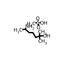 CC(N)CCCC(C)(C)O.CS(=O)(=O)O